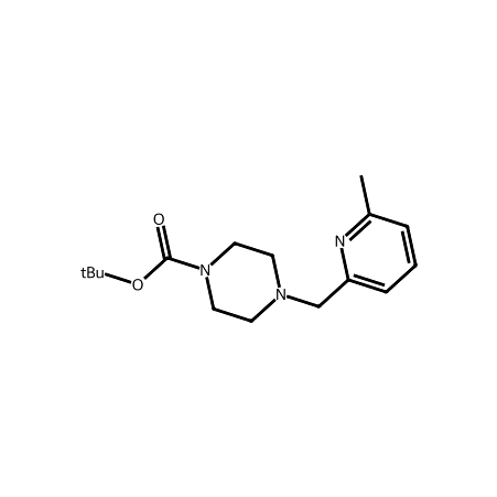 Cc1cccc(CN2CCN(C(=O)OC(C)(C)C)CC2)n1